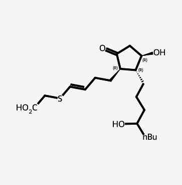 CCCCC(O)CCC[C@H]1[C@H](O)CC(=O)[C@@H]1CCC=CSCC(=O)O